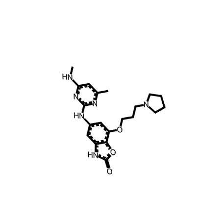 CNc1cc(C)nc(Nc2cc(OCCCN3CCCC3)c3oc(=O)[nH]c3c2)n1